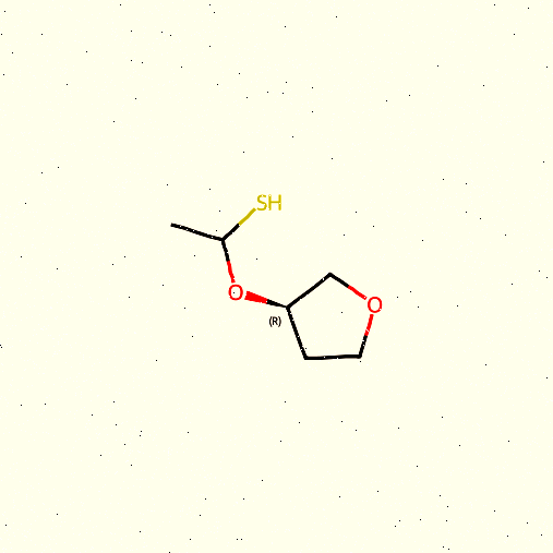 CC(S)O[C@@H]1CCOC1